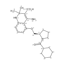 CC1(C)Nc2cccc(OC[C@H]3CCCN3C(=O)C3CCCCC3)c2C(N)=C1C(=O)O